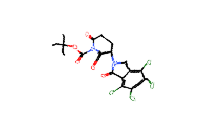 CC(C)(C)OC(=O)N1C(=O)CCC(N2Cc3c(Cl)c(Cl)c(Cl)c(Cl)c3C2=O)C1=O